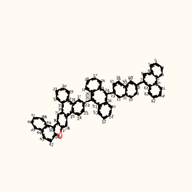 c1ccc2c(c1)cc(-c1ccc3cc(-c4c5ccccc5c(-c5ccc6c(c5)c5ccccc5c5cc7c(cc65)oc5ccc6ccccc6c57)c5ccccc45)ccc3c1)c1ccccc12